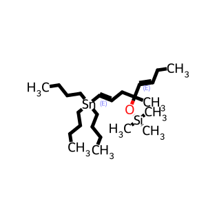 CC/C=C/C(C)(C/C=[CH]/[Sn]([CH2]CCC)([CH2]CCC)[CH2]CCC)O[Si](C)(C)C